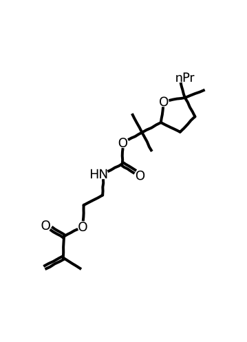 C=C(C)C(=O)OCCNC(=O)OC(C)(C)C1CCC(C)(CCC)O1